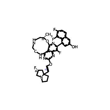 C[C@H]1CCNCCNc2nc(O/C=C/C34CCCN3C[C@H](F)C4)nc3c(F)c(-c4cc(O)cc5ccc(F)c(F)c45)nc(c23)O1